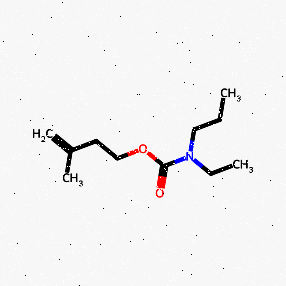 C=C(C)CCOC(=O)N(CC)CCC